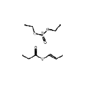 CC=COC(=O)CC.CCO[PH](=O)OCC